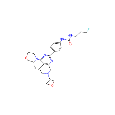 CC1COCCN1c1nc(-c2ccc(NC(=O)NCCCF)cc2)nc2c1CCN(C1COC1)C2